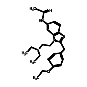 CCOc1ccc(Cc2nc3ccc(NC(C)=N)cc3n2CCN(CC)CC)cc1